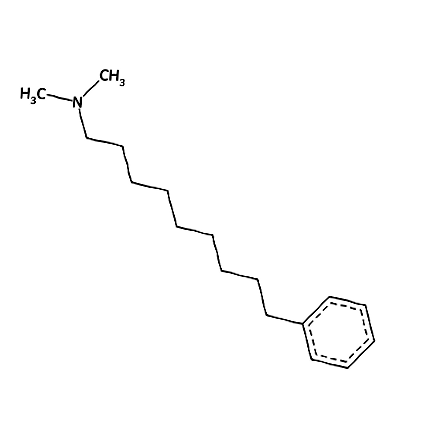 CN(C)CCCCCCCCCc1ccccc1